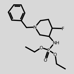 CCOP(=O)(NC1CN(Cc2ccccc2)CCC1F)OCC